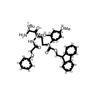 CCCC[C@H](N)C(=O)N([CH]CN(C(=O)OCC1c2ccccc2-c2ccccc21)c1ccc(OC)cc1OC)NC(=O)COc1ccccc1